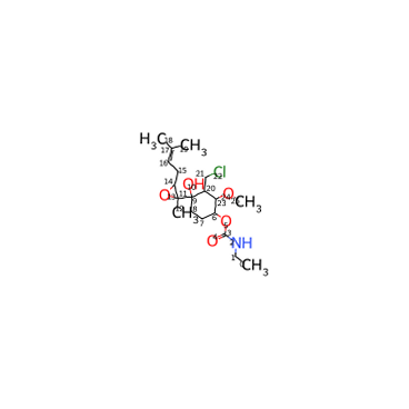 CCNC(=O)OC1CCC(O)(C2(C)OC2CC=C(C)C)C(CCl)C1OC